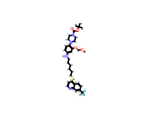 COCOc1cc(NCCCCCCSc2ccnc3cc(C(F)(F)F)ccc23)ccc1N1CCN(C(=O)OC(C)(C)C)CC1